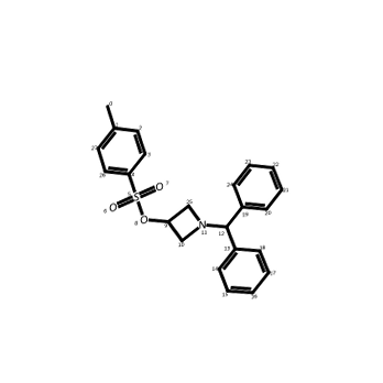 Cc1ccc(S(=O)(=O)OC2CN(C(c3ccccc3)c3ccccc3)C2)cc1